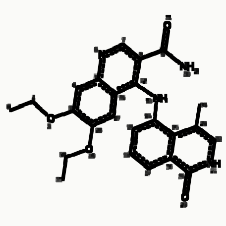 CCOc1cc2ncc(C(N)=O)c(Nc3cccc4c(=O)[nH]cc(C)c34)c2cc1OCC